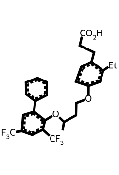 CCc1cc(OCCC(C)Oc2c(-c3ccccc3)cc(C(F)(F)F)cc2C(F)(F)F)ccc1CCC(=O)O